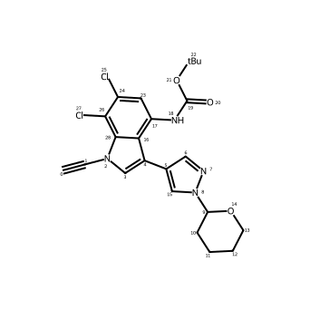 C#Cn1cc(-c2cnn(C3CCCCO3)c2)c2c(NC(=O)OC(C)(C)C)cc(Cl)c(Cl)c21